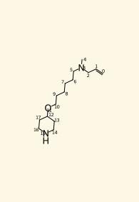 C=CCN(C)CCCCCCOC1CCNCC1